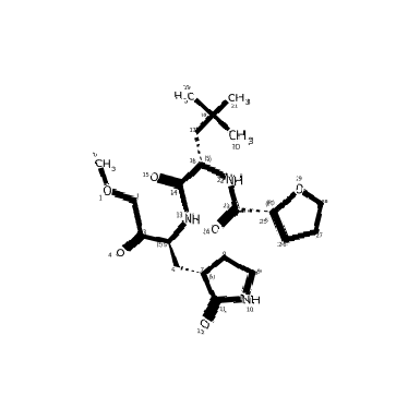 COCC(=O)[C@H](C[C@@H]1CCNC1=O)NC(=O)[C@H](CC(C)(C)C)NC(=O)[C@H]1CCCO1